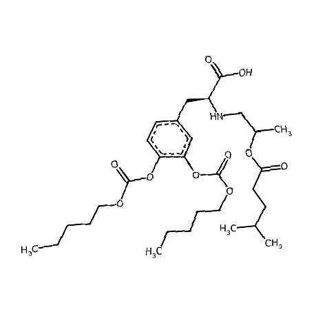 CCCCCOC(=O)Oc1ccc(C[C@H](NCC(C)OC(=O)CCC(C)C)C(=O)O)cc1OC(=O)OCCCCC